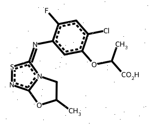 CC1Cn2c(nsc2=Nc2cc(OC(C)C(=O)O)c(Cl)cc2F)O1